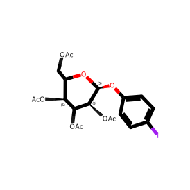 CC(=O)OCC1O[C@@H](Oc2ccc(I)cc2)[C@@H](OC(C)=O)C(OC(C)=O)[C@H]1OC(C)=O